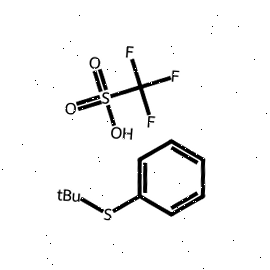 CC(C)(C)Sc1ccccc1.O=S(=O)(O)C(F)(F)F